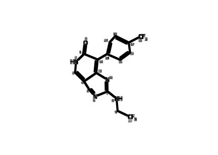 O=c1[nH]cc2cnc(NCC(F)(F)F)nc2c1-c1ccc(C(F)(F)F)cc1